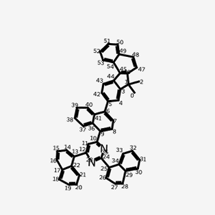 CC1(C)c2cc(-c3ccc(-c4cc(-c5cccc6ccccc56)nc(-c5cccc6ccccc56)n4)c4ccccc34)ccc2-c2c1ccc1ccccc21